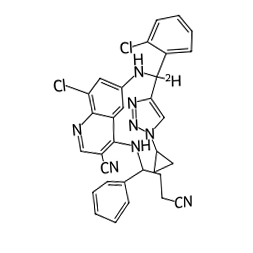 [2H]C(Nc1cc(Cl)c2ncc(C#N)c(NC(CCC#N)c3ccccc3)c2c1)(c1cn(C2CC2)nn1)c1ccccc1Cl